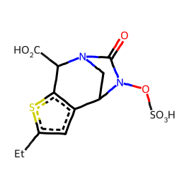 CCc1cc2c(s1)C(C(=O)O)N1CC2N(OS(=O)(=O)O)C1=O